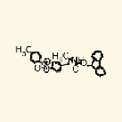 Cc1ccc(S(=O)(=O)Oc2ccc(CC(C)NC(=O)OCC3c4ccccc4-c4ccccc43)cc2)cc1